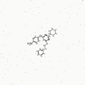 Nc1ccc(Oc2cc(CCCc3ccccc3)nc(C3CCCCC3)n2)cc1